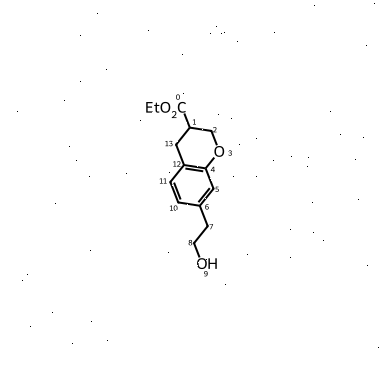 CCOC(=O)C1COc2cc(CCO)ccc2C1